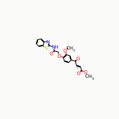 COC(=O)/C=C/C(=O)c1ccc(OCC(=O)Nc2nc3ccccc3s2)c(OC)c1